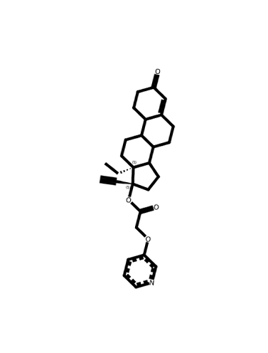 C#C[C@]1(OC(=O)COc2cccnc2)CCC2C3CCC4=CC(=O)CCC4C3CC[C@@]21CC